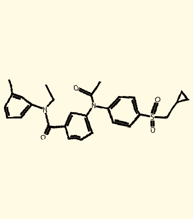 CCN(C(=O)c1cccc(N(C(C)=O)c2ccc(S(=O)(=O)CC3CC3)cc2)c1)c1cccc(C)c1